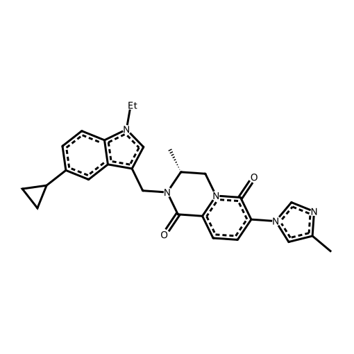 CCn1cc(CN2C(=O)c3ccc(-n4cnc(C)c4)c(=O)n3C[C@H]2C)c2cc(C3CC3)ccc21